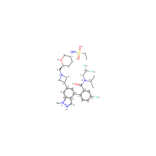 CCS(=O)(=O)N[C@@H]1CC[C@@H](CN2CC(c3cc(-c4ccc(F)cc4C(=O)N(CC(F)F)C(C)C)c4cnn(C)c4c3)C2)OC1